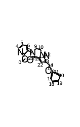 COc1ncccc1N1CCn2nc(COc3ccccc3)cc2C1=O